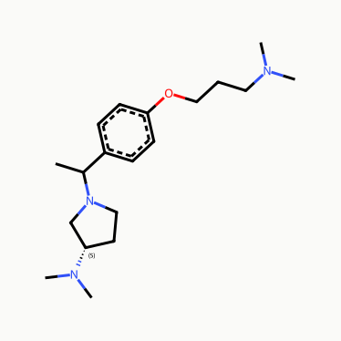 CC(c1ccc(OCCCN(C)C)cc1)N1CC[C@H](N(C)C)C1